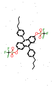 CCCCc1ccc(-c2c3ccc(OS(=O)(=O)C(F)(F)F)cc3c(-c3ccc(CCCC)cc3)c3ccc(OS(=O)(=O)C(F)(F)F)cc23)cc1